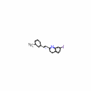 N#Cc1cccc(/C=C/c2ccc3ccc(I)cc3n2)c1